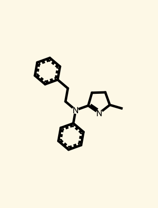 CC1CCC(N(CCc2ccccc2)c2ccccc2)=N1